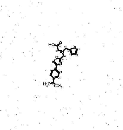 CC(C)c1ccc(-c2csc(CN(CC(=O)O)Cc3cccs3)n2)cc1